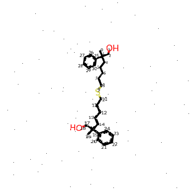 CC(CO)(CCCCCSCCCCCC(C)(CO)c1ccccc1)c1ccccc1